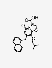 CC(C)COc1c(CC2=CC=CC3C=CC=CC23)cc(=O)n2c1SC[C@H]2C(=O)O